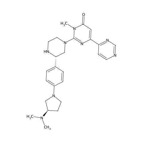 CN(C)[C@@H]1CCN(c2ccc([C@H]3CN(c4nc(-c5ccncn5)cc(=O)n4C)CCN3)cc2)C1